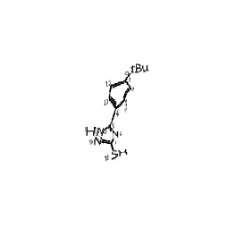 CC(C)(C)c1ccc(-c2nc(S)n[nH]2)cc1